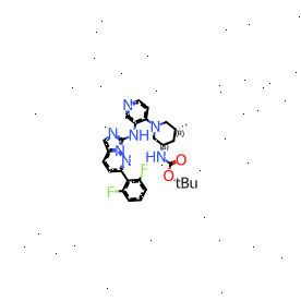 C[C@@H]1C[C@H](NC(=O)OC(C)(C)C)CN(c2ccncc2Nc2ncc3ccc(-c4c(F)cccc4F)nn23)C1